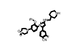 CC(C)Oc1cc(N2CCS(=O)(=O)CC2)ccc1-n1nc(NCC2CCCNCC2)cc1-c1ccc(C#N)c(F)c1